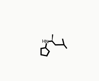 CC(C)C[C@H](C)NC1CCCC1